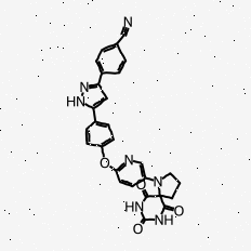 N#Cc1ccc(-c2cc(-c3ccc(Oc4ccc(N5CCCC56C(=O)NC(=O)NC6=O)cn4)cc3)[nH]n2)cc1